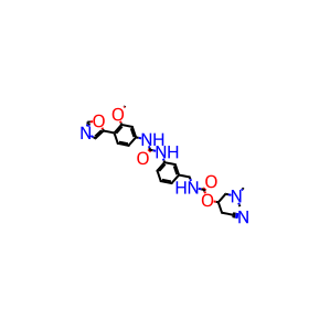 COc1cc(NC(=O)Nc2cccc(CNC(=O)OC(CC#N)CN(C)C)c2)ccc1-c1cnco1